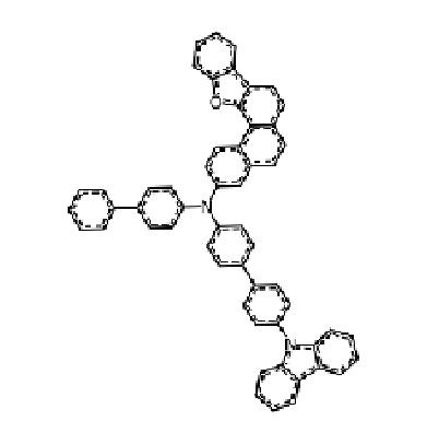 c1ccc(-c2ccc(N(c3ccc(-c4ccc(-n5c6ccccc6c6ccccc65)cc4)cc3)c3ccc4c(ccc5ccc6c7ccccc7oc6c54)c3)cc2)cc1